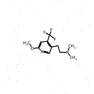 COc1cc(C(F)(F)F)c(CCN(C)C)cn1